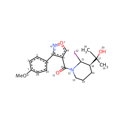 COc1ccc(-c2nocc2C(=O)N2CCC[C@H](C(C)(C)O)C2I)cc1